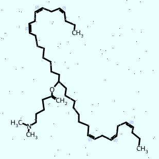 C=C(CCCCN(C)C)OC(CCCCCCC/C=C\C/C=C\C/C=C\CCC)CCCCCCC/C=C\C/C=C\C/C=C\CCC